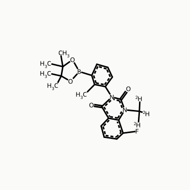 [2H]C([2H])([2H])n1c(=O)n(-c2cccc(B3OC(C)(C)C(C)(C)O3)c2C)c(=O)c2cccc(F)c21